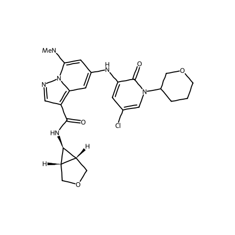 CNc1cc(Nc2cc(Cl)cn(C3CCCOC3)c2=O)cc2c(C(=O)N[C@H]3[C@@H]4COC[C@@H]43)cnn12